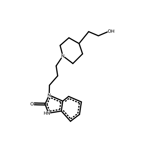 O=c1[nH]c2ccccc2n1CCCN1CCC(CCO)CC1